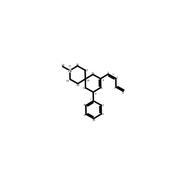 C=C/C=C\C1=CC(c2ccccc2)CC2(CCN(C)CC2)C1